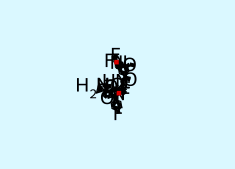 COc1cc(C(=O)NC[C@](O)(c2cc3c(c(-c4ccc(F)cc4)n2)OC[C@]3(C(N)=O)C2CC2)C(F)(F)F)cc2cn(C(F)F)nc12